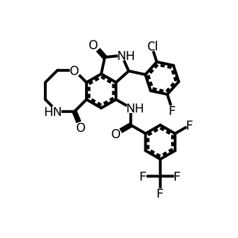 O=C(Nc1cc2c(c3c1C(c1cc(F)ccc1Cl)NC3=O)OCCCNC2=O)c1cc(F)cc(C(F)(F)F)c1